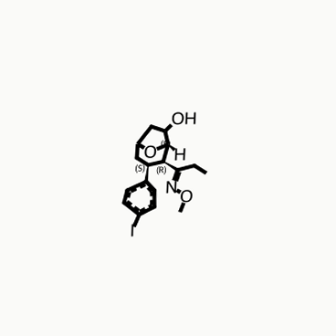 CCC(=NOC)[C@H]1[C@@H](c2ccc(I)cc2)CC2CC(O)[C@H]1O2